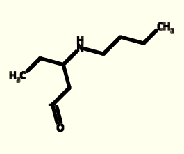 CCCCNC(CC)C[C]=O